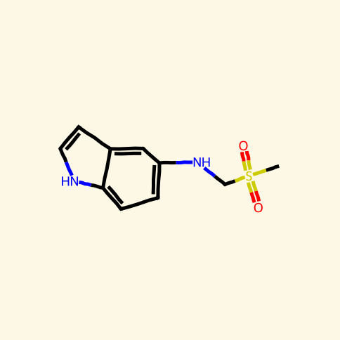 CS(=O)(=O)CNc1ccc2[nH]ccc2c1